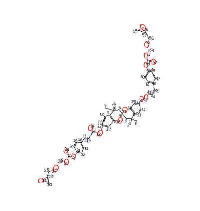 CC1(C)CC2(CC(C)(C)c3ccc(OC(=O)/C=C/c4ccc(OC(=O)OCOCC5CO5)cc4)cc3O2)Oc2cc(OOC/C=C\c3ccc(OC(=O)OCOCC4CO4)cc3)ccc21